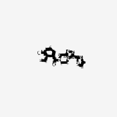 C=Cc1c(Cl)cccc1C(=O)N1CCn2c(nnc2-c2nccs2)C1